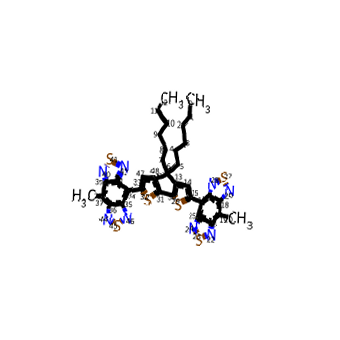 CCCCCCC1(CCCCCC)c2cc(-c3c4c(c(C)c5nsnc35)N=S=N4)sc2-c2sc(-c3c4c(c(C)c5nsnc35)N=S=N4)cc21